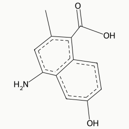 Cc1cc(N)c2cc(O)ccc2c1C(=O)O